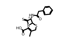 CC1=C(C(=O)O)N2C(=S)[C@@H](NC(=O)Cc3ccccc3)C2SC1